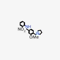 COc1cc(CNc2ccccc2[N+](=O)[O-])ccc1CN1CCCC1